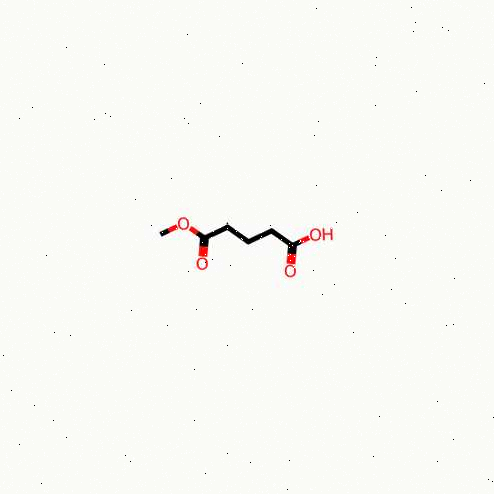 COC(=O)[CH]CCC(=O)O